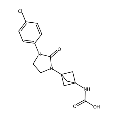 O=C(O)NC12CC(N3CCN(c4ccc(Cl)cc4)C3=O)(C1)C2